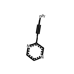 CCCC#Cc1cnccn1